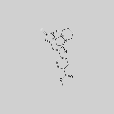 COC(=O)c1ccc(C2=CC3=CC(=O)O[C@@]34C[C@@H]2N2CCCC[C@@H]24)cc1